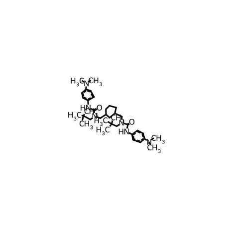 CN(C)c1ccc(NC(=O)N(CC2CCCC(CN(CC(C)(C)C)C(=O)Nc3ccc(N(C)C)cc3)C2)CC(C)(C)C)cc1